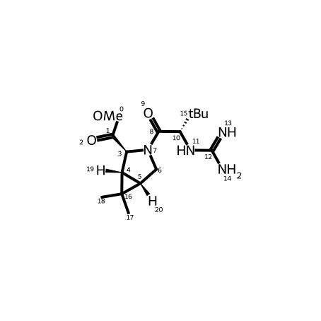 COC(=O)[C@@H]1[C@@H]2[C@H](CN1C(=O)[C@@H](NC(=N)N)C(C)(C)C)C2(C)C